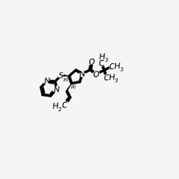 C=CC[C@@H]1CN(C(=O)OC(C)(C)C)C[C@@H]1Sc1ncccn1